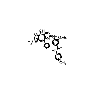 C=C[C@@]1(F)CN(C2CCCC2)c2nc(Nc3ccc(C(=O)NN4CCN(C)CC4)cc3OC)ncc2N(C)C1=O